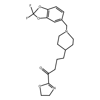 O=C(CCCC1CCN(Cc2ccc3c(c2)OC(F)(F)O3)CC1)C1=NCCO1